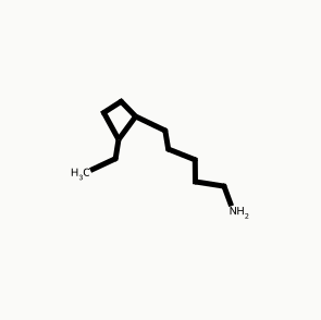 CCC1CCC1CCCCCN